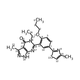 CCCOc1ccc(-c2nc(C)cs2)cc1-c1nc2[nH]nc(C)c2c(=O)n1CC